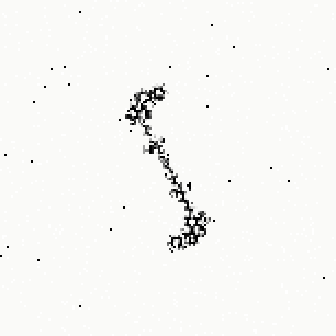 O=C(CCCCCN1C=CC2=C3c4sc5ccccc5[n+]4CCC3Oc3cccc1c32)NCCOCCOCCNC(=O)CCCCCN1C=CC2=C3c4sc5ccccc5[n+]4CCC3Oc3cccc1c32